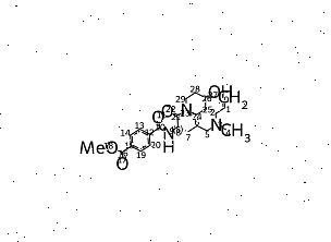 C=CCN(C)CCC[C@H](NC(=O)c1ccc(C(=O)OC)cc1)C(=O)N1CCC(O)CC1